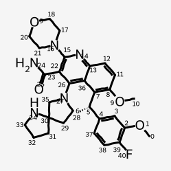 COc1cc([C@H](C)c2c(OC)ccc3nc(N4CCOCC4)c(C(N)=O)c(N4CCC5(CCCN5)C4)c23)ccc1F